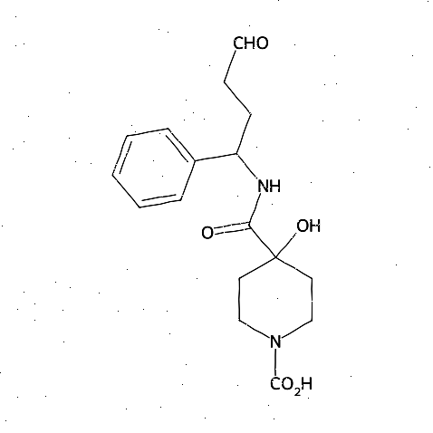 O=CCCC(NC(=O)C1(O)CCN(C(=O)O)CC1)c1ccccc1